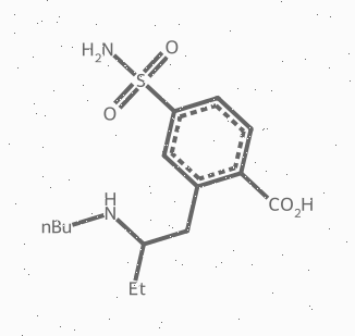 CCCCNC(CC)Cc1cc(S(N)(=O)=O)ccc1C(=O)O